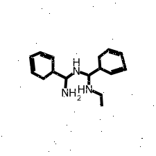 CCNC(NC(N)C1C=CC=CC1)C1C=CC=CC1